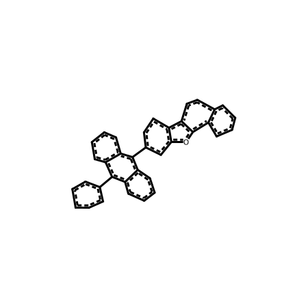 c1ccc(-c2c3ccccc3c(-c3ccc4c(c3)oc3c5ccccc5ccc43)c3ccccc23)cc1